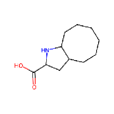 O=C(O)C1CC2CCCCCCC2N1